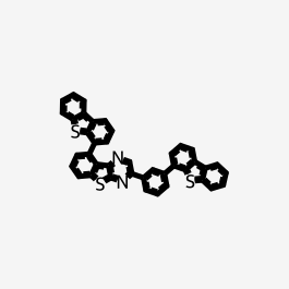 c1cc(-c2cnc3c(n2)sc2cccc(-c4cccc5c4sc4ccccc45)c23)cc(-c2cccc3c2sc2ccccc23)c1